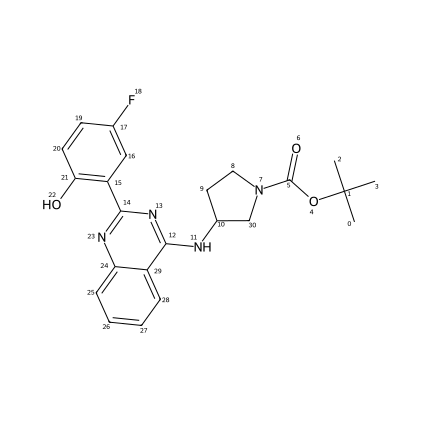 CC(C)(C)OC(=O)N1CCC(Nc2nc(-c3cc(F)ccc3O)nc3ccccc23)C1